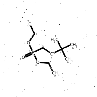 CCOP(=O)(COC(C)(C)C)OCC